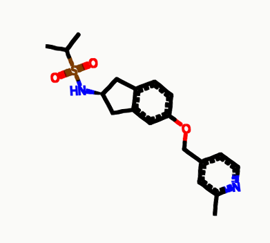 Cc1cc(COc2ccc3c(c2)C[C@@H](NS(=O)(=O)C(C)C)C3)ccn1